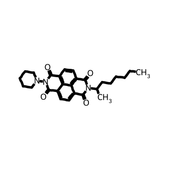 CCCCCCC(C)N1C(=O)c2ccc3c4c(ccc(c24)C1=O)C(=O)N(N1CCCCC1)C3=O